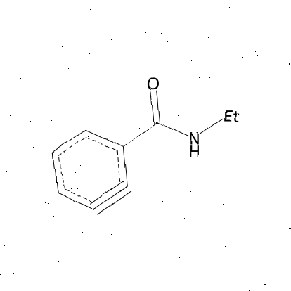 CCNC(=O)c1c#cccc1